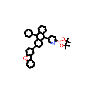 CC1(C)OB(c2ccc(-c3c4ccccc4c(-c4ccccc4)c4cc(-c5ccc6oc7ccccc7c6c5)ccc34)cn2)OC1(C)C